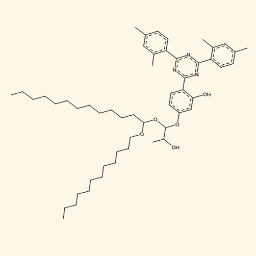 CCCCCCCCCCCCOC(CCCCCCCCCCCC)OC(Oc1ccc(-c2nc(-c3ccc(C)cc3C)nc(-c3ccc(C)cc3C)n2)c(O)c1)C(C)O